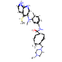 CCN1CCN(Cc2ccc(C(=O)Nc3ccc(C)c(N(C)c4cnc5[nH]ccc5c4SC(C)C)c3)cc2C(F)(F)F)CC1